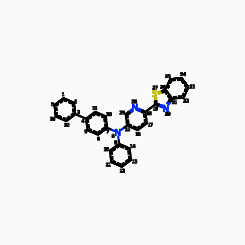 c1ccc(-c2ccc(N(c3ccccc3)c3ccc(-c4nc5ccccc5s4)nc3)cc2)cc1